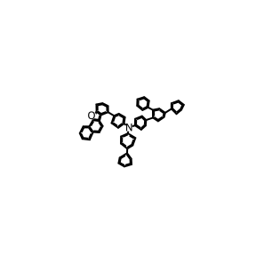 c1ccc(-c2ccc(N(c3ccc(-c4ccc(-c5ccccc5)cc4-c4ccccc4)cc3)c3ccc(-c4cccc5oc6c7ccccc7ccc6c45)cc3)cc2)cc1